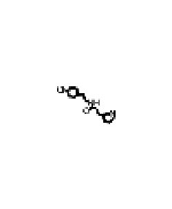 O=C(CCc1cccnc1)NCCc1ccc(Cl)cc1